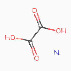 O=C(O)C(=O)O.[N]